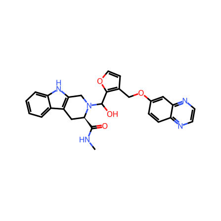 CNC(=O)[C@H]1Cc2c([nH]c3ccccc23)CN1C(O)c1occc1COc1ccc2nccnc2c1